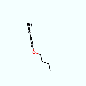 B=BB=BOCCCC